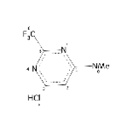 CNc1ccnc(C(F)(F)F)n1.Cl